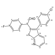 O=CC(c1ccc(F)cc1)c1sc2ncccc2c1-c1ccc(Cl)cc1